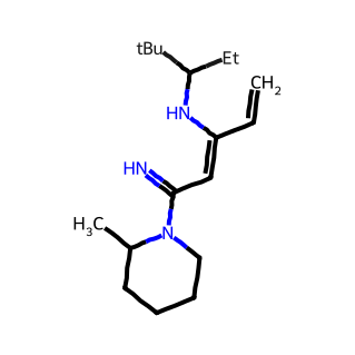 C=C/C(=C/C(=N)N1CCCCC1C)NC(CC)C(C)(C)C